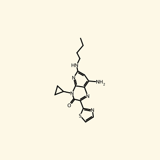 CCCCNc1cc(N)c2nc(-c3nccs3)c(=O)n(C3CC3)c2n1